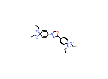 CCNC1(NCC)C=CC(C2=NN(C3C=CC(NCC)(NCC)C=C3)CO2)C=C1